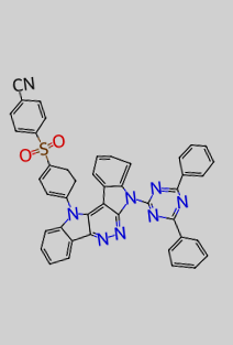 N#Cc1ccc(S(=O)(=O)C2=CC=C(n3c4ccccc4c4nnc5c(c6ccccc6n5-c5nc(-c6ccccc6)nc(-c6ccccc6)n5)c43)CC2)cc1